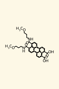 COCCCNC(=O)c1ccc2c3ccc(C(=O)O)c4c(C(=O)O)ccc(c5ccc(C(=O)NCCCOC)c1c25)c43